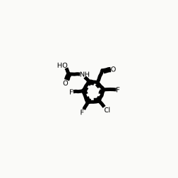 O=Cc1c(F)c(Cl)c(F)c(F)c1NC(=O)O